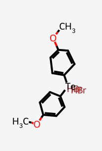 Br.Br.COc1ccc([Te]c2ccc(OC)cc2)cc1